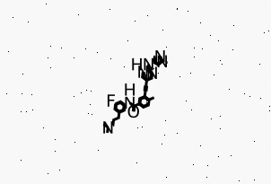 Cc1ccc(C(=O)Nc2cc(F)cc(CCCN(C)C)c2)cc1C#Cc1cnc(Nc2cnn(C)c2)nc1